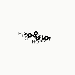 COc1ccc(CCC2(C3CCCC3)CC(O)=C(Sc3nc4cc(F)ccc4[nH]3)C(=O)O2)cc1Cl